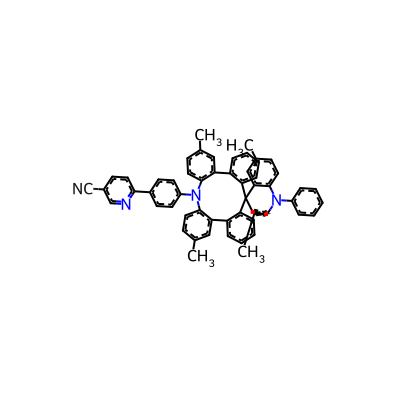 Cc1ccc2c(c1)-c1ccccc1C1(c3ccccc3-c3cc(C)ccc3N2c2ccc(-c3ccc(C#N)cn3)cc2)c2cc(C)ccc2N(c2ccccc2)c2ccc(C)cc21